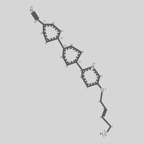 CC/C=C/COc1ccc(-c2ccc(-c3ccc(C#N)cc3)cc2)nc1